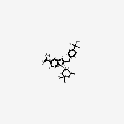 CC1C[C@@H](n2c(Cc3ccc(C(F)(F)F)cc3)nc3cc(C(=O)O)ccc32)CC(C)(C)C1